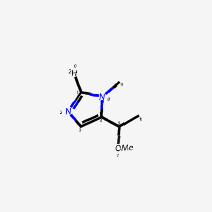 [2H]c1ncc(C(C)OC)n1C